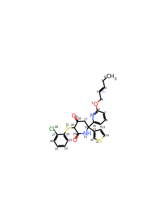 CC/C=C/COc1cccc(C2(c3ccsc3)CC(=O)C(Sc3ccccc3Cl)C(=O)N2)n1